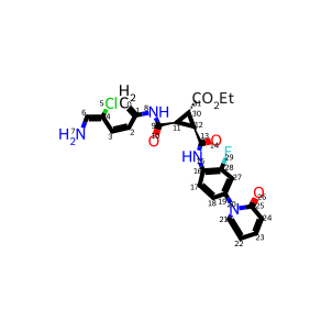 C=C(/C=C\C(Cl)=C/N)NC(=O)[C@@H]1[C@H](C(=O)Nc2ccc(-n3ccccc3=O)cc2F)[C@H]1C(=O)OCC